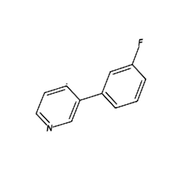 Fc1cccc(-c2[c]ccnc2)c1